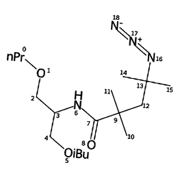 CCCOCC(COCC(C)C)NC(=O)C(C)(C)CC(C)(C)N=[N+]=[N-]